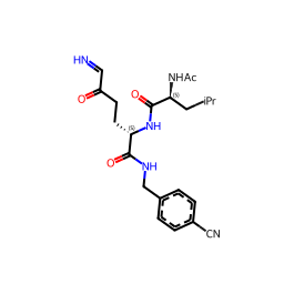 CC(=O)N[C@@H](CC(C)C)C(=O)N[C@@H](CCC(=O)C=N)C(=O)NCc1ccc(C#N)cc1